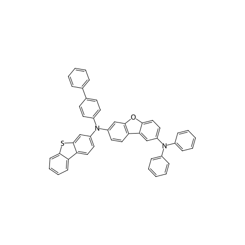 c1ccc(-c2ccc(N(c3ccc4c(c3)oc3ccc(N(c5ccccc5)c5ccccc5)cc34)c3ccc4c(c3)sc3ccccc34)cc2)cc1